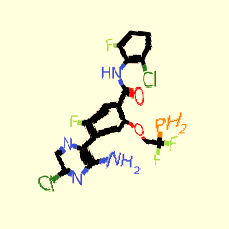 Nc1nc(Cl)cnc1-c1cc(OCC(F)(F)P)c(C(=O)NC2=C(Cl)CCC=C2F)cc1F